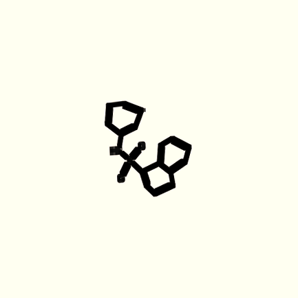 O=S(=O)(Nc1c[c]ccc1)c1cccc2ccccc12